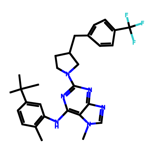 Cc1ccc(C(C)(C)C)cc1Nc1nc(N2CCC(Cc3ccc(C(F)(F)F)cc3)C2)nc2ncn(C)c12